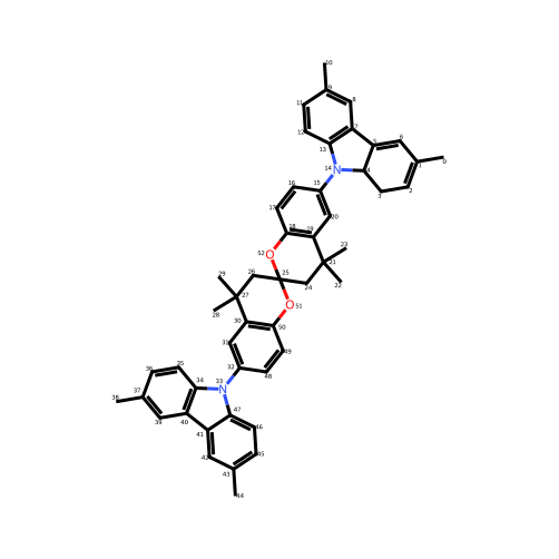 CC1=CCC2C(=C1)c1cc(C)ccc1N2c1ccc2c(c1)C(C)(C)CC1(CC(C)(C)c3cc(-n4c5ccc(C)cc5c5cc(C)ccc54)ccc3O1)O2